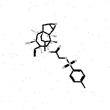 C=C[C@]1(C)[C@@H](OC(=O)COS(=O)(=O)c2ccc(C)cc2)[C@]2(C)C(C)CC[C@]3(CC4OC4[C@H]32)[C@@H](C)[C@@H]1O